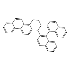 c1ccc2c(-c3c(C4CCCc5c4ccc4c5ccc5ccccc54)ccc4ccccc34)cccc2c1